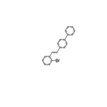 Brc1ccccc1C=Cc1ccc(-c2ccccc2)cc1